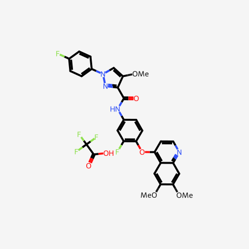 COc1cc2nccc(Oc3ccc(NC(=O)c4nn(-c5ccc(F)cc5)cc4OC)cc3F)c2cc1OC.O=C(O)C(F)(F)F